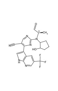 C[C@H](C=O)N(c1ncc(C#N)c(-c2c[nH]c3ncc(C(F)(F)F)cc23)n1)C1CCCC1O